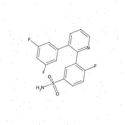 NS(=O)(=O)c1ccc(F)c(-c2ncccc2-c2cc(F)cc(F)c2)c1